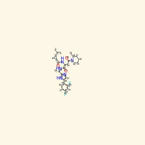 CC(C)C1CC1C(=O)NC(CC(=O)N1CCCCC1C)C(=O)N[C@@H](C)c1ncc(-c2ccc(F)cc2F)[nH]1